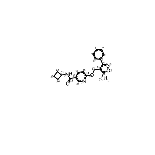 Cc1onc(-c2ccccc2)c1COc1ccc(C(=O)NC2CCC2)cn1